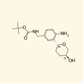 CC(C)(C)OC(=O)NCc1ccc(N)c([C@H]2CC[C@H](O)CO2)c1